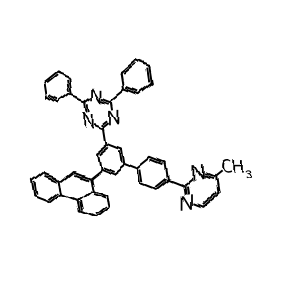 Cc1ccnc(-c2ccc(-c3cc(-c4nc(-c5ccccc5)nc(-c5ccccc5)n4)cc(-c4cc5ccccc5c5ccccc45)c3)cc2)n1